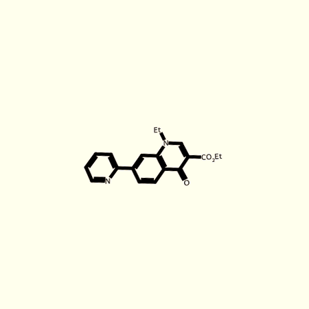 CCOC(=O)c1cn(CC)c2cc(-c3ccccn3)ccc2c1=O